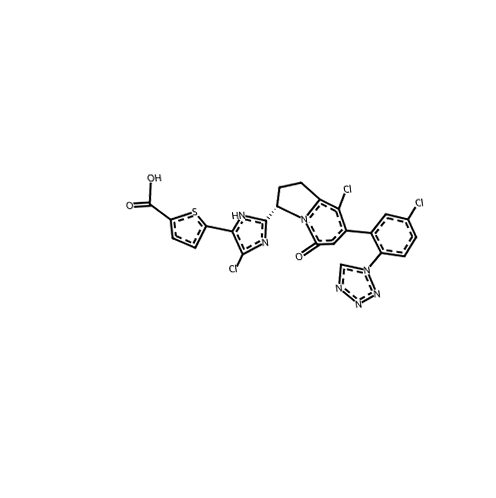 O=C(O)c1ccc(-c2[nH]c([C@@H]3CCc4c(Cl)c(-c5cc(Cl)ccc5-n5cnnn5)cc(=O)n43)nc2Cl)s1